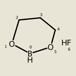 B1OCCCO1.F